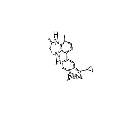 C=C1CCNc2c(-c3ccc4c(c3)c(C3CC3)nn4C)ccc(C)c2N1